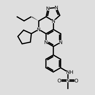 CCC[C@@H]1c2nncn2-c2cnc(-c3cccc(NS(C)(=O)=O)c3)nc2N1C1CCCC1